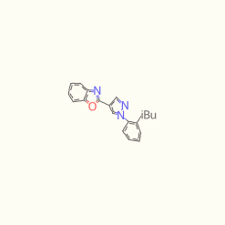 CCC(C)c1ccccc1-n1cc(-c2nc3ccccc3o2)cn1